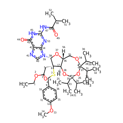 CCOC(=O)C[C@@]1(SCc2ccc(OC)cc2)[C@@H]2O[Si](C(C)C)(C(C)C)O[Si](C(C)C)(C(C)C)OC[C@H]2O[C@H]1n1cnc2c(=O)[nH]c(NC(=O)C(C)C)nc21